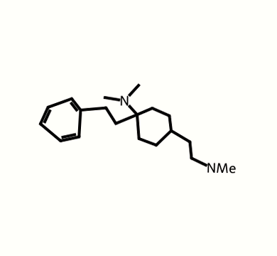 CNCCC1CCC(CCc2ccccc2)(N(C)C)CC1